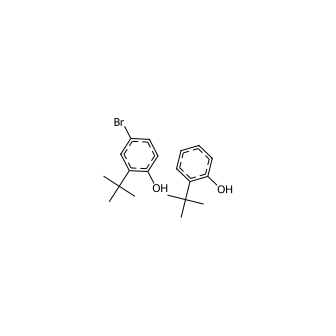 CC(C)(C)c1cc(Br)ccc1O.CC(C)(C)c1ccccc1O